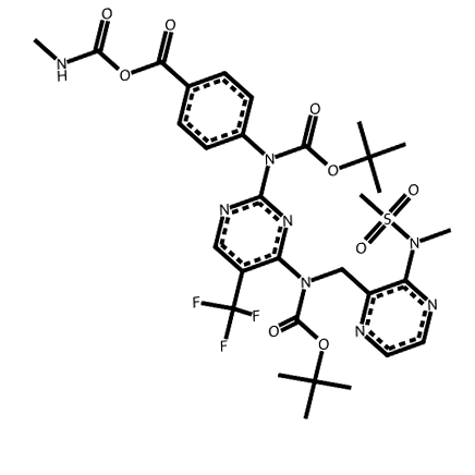 CNC(=O)OC(=O)c1ccc(N(C(=O)OC(C)(C)C)c2ncc(C(F)(F)F)c(N(Cc3nccnc3N(C)S(C)(=O)=O)C(=O)OC(C)(C)C)n2)cc1